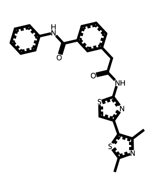 Cc1nc(C)c(-c2csc(NC(=O)Cc3cccc(C(=O)Nc4ccccc4)c3)n2)s1